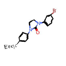 CCOC(=O)c1ccc(N2CCN(c3cccc(Br)c3)C2=O)cc1